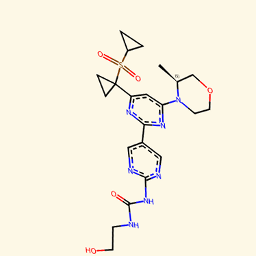 C[C@H]1COCCN1c1cc(C2(S(=O)(=O)C3CC3)CC2)nc(-c2cnc(NC(=O)NCCO)nc2)n1